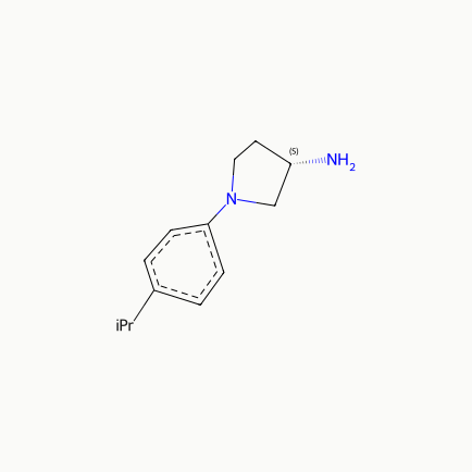 CC(C)c1ccc(N2CC[C@H](N)C2)cc1